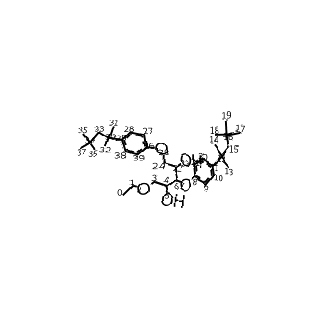 CCOCC(O)C(Oc1ccc(C(C)(C)CC(C)(C)C)cc1)C(O)COc1ccc(C(C)(C)CC(C)(C)C)cc1